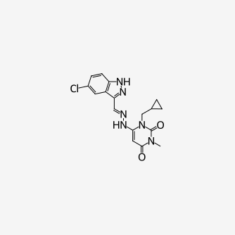 Cn1c(=O)cc(NN=Cc2n[nH]c3ccc(Cl)cc23)n(CC2CC2)c1=O